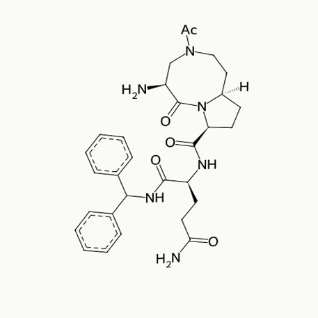 CC(=O)N1CC[C@H]2CC[C@@H](C(=O)N[C@@H](CCC(N)=O)C(=O)NC(c3ccccc3)c3ccccc3)N2C(=O)[C@@H](N)C1